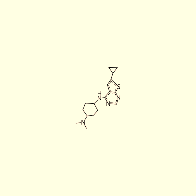 CN(C)C1CCC(Nc2ncnc3sc(C4CC4)cc23)CC1